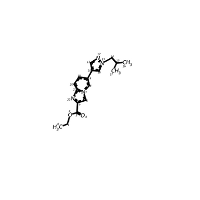 CCOC(=O)c1cn2cc(-c3cnn(CC(C)C)c3)ccc2n1